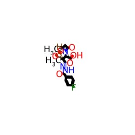 C[C@@H]1CC(=O)N1[C@@H](C(=O)O)[C@](C)(/C=N/NC(=O)c1ccc(F)cc1)[SH](=O)=O